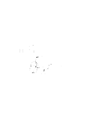 CCC(C)C(=O)OC12CC3CC(C1)CC(C(=O)OC[Si](C)(C)C)(C3)C2